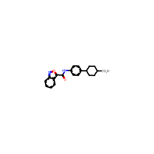 O=C(Nc1ccc(C2CCC(C(=O)O)CC2)cc1)c1onc2ccccc12